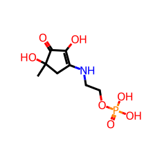 CC1(O)CC(NCCOP(=O)(O)O)=C(O)C1=O